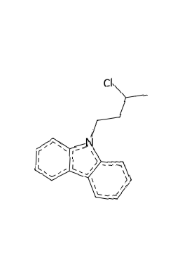 CC(Cl)CCn1c2ccccc2c2ccccc21